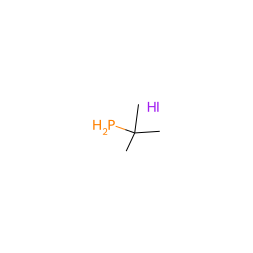 CC(C)(C)P.I